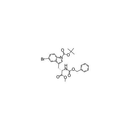 COC(=O)[C@H](Cc1cn(C(=O)OC(C)(C)C)c2ccc(Br)cc12)NC(=O)OCc1ccccc1